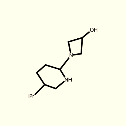 CC(C)C1CCC(N2CC(O)C2)NC1